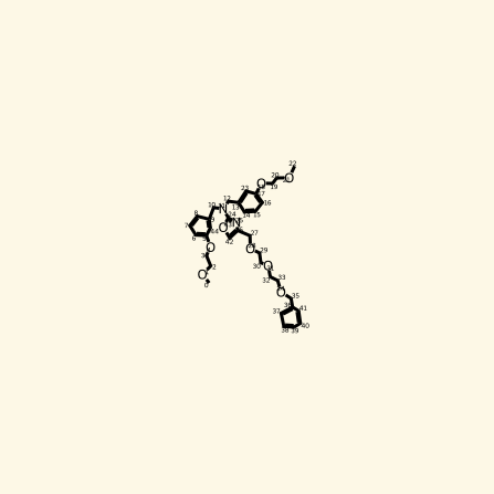 COCCOc1cccc(CN(Cc2cccc(OCCOC)c2)c2nc(COCCOCCOCc3ccccc3)co2)c1